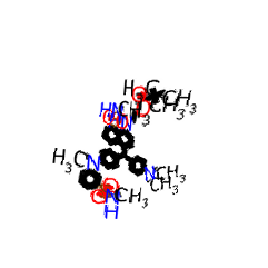 CCN(CC)c1ccc(C(c2ccc(N(CC)c3cccc(S(=O)(=O)NC)c3)cc2)c2ccc(NCCOC(=O)C(C)(C)CC)c3c(S(=O)(=O)NC)cccc23)cc1